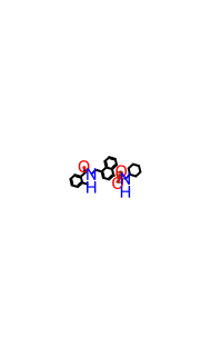 Cc1ccccc1C(=O)NCc1ccc(S(=O)(=O)NC2CCCCC2)c2ccccc12